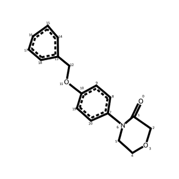 O=C1COCCN1c1ccc(OCc2ccccc2)cc1